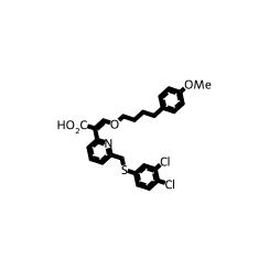 COc1ccc(CCCCOC=C(C(=O)O)c2cccc(CSc3ccc(Cl)c(Cl)c3)n2)cc1